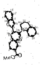 COC(=O)c1ccc2nc(-c3cc4ccccc4o3)c(N3CCCc4ccccc43)nc2c1